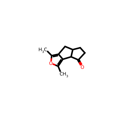 Cc1oc(C)c2c1CC1CCC(=O)C21